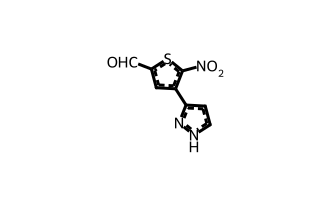 O=Cc1cc(-c2cc[nH]n2)c([N+](=O)[O-])s1